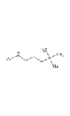 CCC(C)C(C)(C)CCCNC(C)C